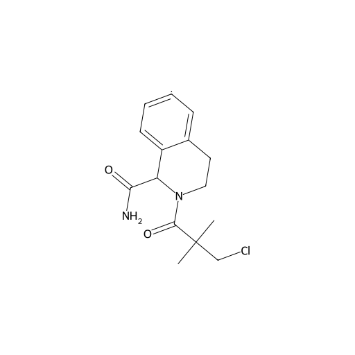 CC(C)(CCl)C(=O)N1CCc2c[c]ccc2C1C(N)=O